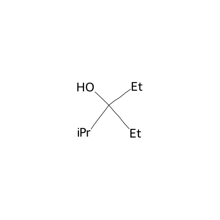 [CH2]C(C)C(O)(CC)CC